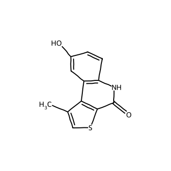 Cc1csc2c(=O)[nH]c3ccc(O)cc3c12